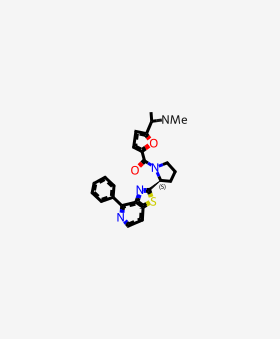 CNC(C)c1ccc(C(=O)N2CCC[C@H]2c2nc3c(-c4ccccc4)nccc3s2)o1